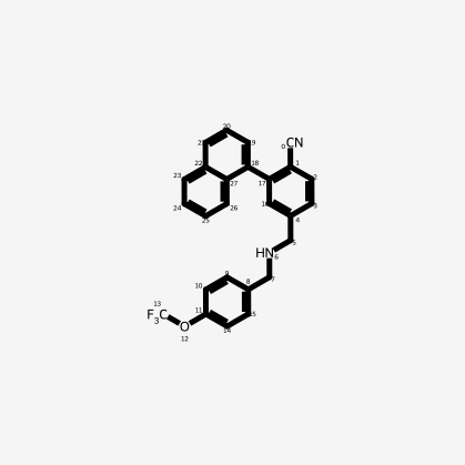 N#Cc1ccc(CNCc2ccc(OC(F)(F)F)cc2)cc1-c1cccc2ccccc12